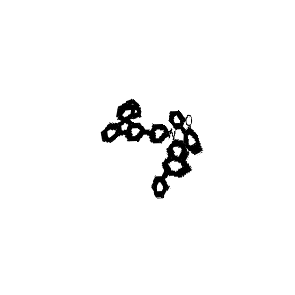 c1ccc(-c2ccc3ccc(N(c4ccc(-c5ccc6c(c5)C5(c7ccccc7-6)C6CC7CC(C6)CC5C7)cc4)c4cccc5oc6ccccc6c45)cc3c2)cc1